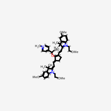 COCCN1/C(=C/C=C2\CCC(/C=C/C3=[N+](CCOC)c4ccc(OC)cc4C3(C)C)=C2OC(c2cc[n+](C)cc2)C(C)(C)C)C(C)(C)c2cc(OC)ccc21